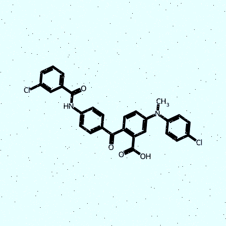 CN(c1ccc(Cl)cc1)c1ccc(C(=O)c2ccc(NC(=O)c3cccc(Cl)c3)cc2)c(C(=O)O)c1